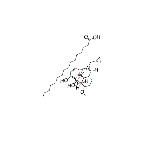 CCCCCCCCCCCCCCCC(=O)O.CO[C@@]12CC[C@@]3(C[C@@H]1[C@](C)(O)C(C)(C)C)[C@H]1Cc4ccc(O)c5c4[C@@]3(CCN1CC1CC1)[C@H]2O5